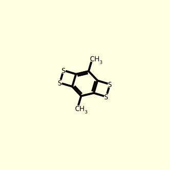 Cc1c2ssc2c(C)c2ssc12